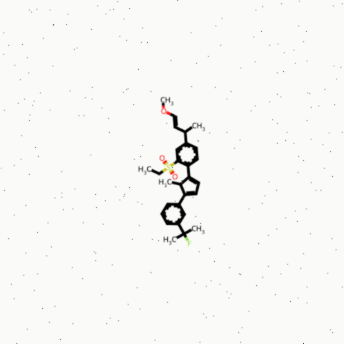 CCS(=O)(=O)c1cc(C(C)/C=C/OC)ccc1C1=CC=C(c2cccc(C(C)(C)F)c2)C1C